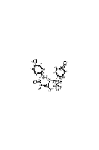 CC(C(=O)Nc1ccc(Cl)cn1)N1CCC(F)(F)[C@@H](c2cc[n+]([O-])cc2)C1